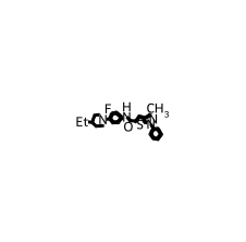 CCC1CCN(c2ccc(NC(=O)c3cc4c(C)nn(-c5ccccc5)c4s3)cc2F)CC1